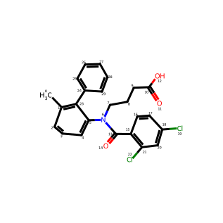 Cc1cccc(N(CCCC(=O)O)C(=O)c2ccc(Cl)cc2Cl)c1-c1ccccc1